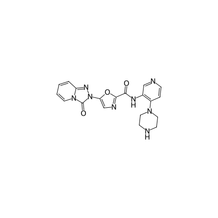 O=C(Nc1cnccc1N1CCNCC1)c1ncc(-n2nc3ccccn3c2=O)o1